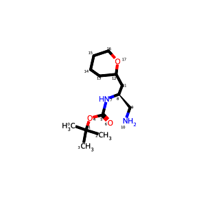 CC(C)(C)OC(=O)N[C@H](CN)CC1CCCCO1